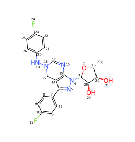 C[C@H]1O[C@@H](n2nc(-c3ccc(F)cc3)c3c2N=CN(Nc2ccc(F)cc2)C3)[C@H](O)[C@@H]1O